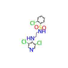 O=S(=O)(NCCNc1c(Cl)cncc1Cl)c1ccccc1Cl